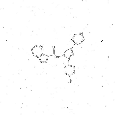 O=C(Nc1cc(-c2ccncc2)nn1-c1ccc(F)cc1)c1cnn2cccnc12